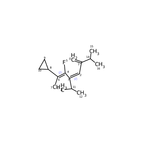 C=C(/C=C(\C(F)=C(/C)C1CC1)C(C)C)C(C)C